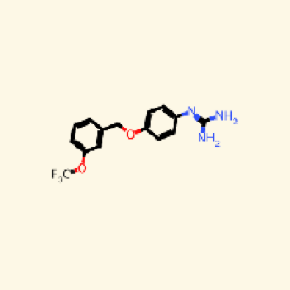 NC(N)=Nc1ccc(OCc2cccc(OC(F)(F)F)c2)cc1